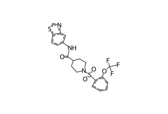 O=C(Nc1ccc2scnc2c1)C1CCN(S(=O)(=O)c2ccccc2OC(F)(F)F)CC1